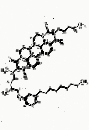 CCCCCCCCCc1cccc(OCC(C)OCC(C)N2C(=O)c3ccc4c5ccc6c7c(ccc(c8ccc(c3c48)C2=O)c75)C(=O)N(CCCOC)C6=O)c1